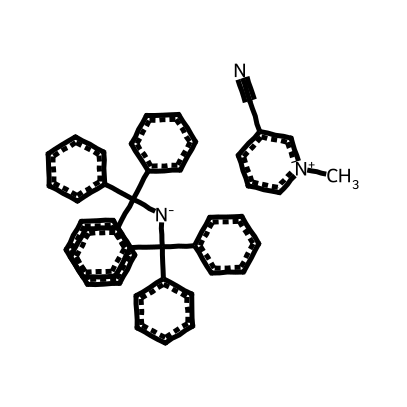 C[n+]1cccc(C#N)c1.c1ccc(C([N-]C(c2ccccc2)(c2ccccc2)c2ccccc2)(c2ccccc2)c2ccccc2)cc1